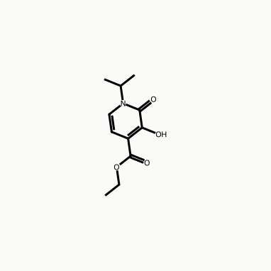 CCOC(=O)c1ccn(C(C)C)c(=O)c1O